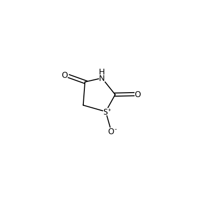 O=C1C[S+]([O-])C(=O)N1